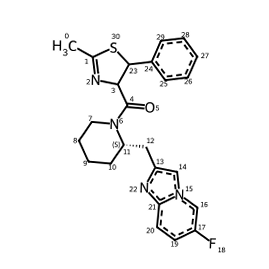 CC1=NC(C(=O)N2CCCC[C@H]2Cc2cn3cc(F)ccc3n2)C(c2ccccc2)S1